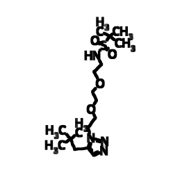 CC(C)(C)Cc1cnnn1CCOCCOCCNS(=O)(=O)C(C)(C)C